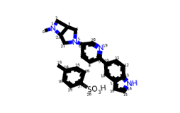 CN1CC2CN(c3ccc(-c4ccc5[nH]ccc5c4)nc3)CC21.Cc1ccc(S(=O)(=O)O)cc1